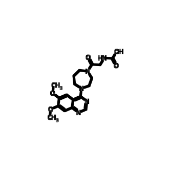 COc1cc2ncnc(N3CCCN(C(=O)CNC(=O)O)CC3)c2cc1OC